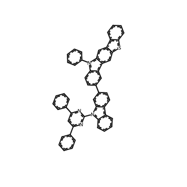 c1ccc(-c2cc(-c3ccccc3)nc(-n3c4ccccc4c4ccc(-c5ccc6c(c5)c5cc7sc8ccccc8c7cc5n6-c5ccccc5)cc43)n2)cc1